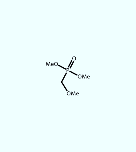 COCP(=O)(OC)OC